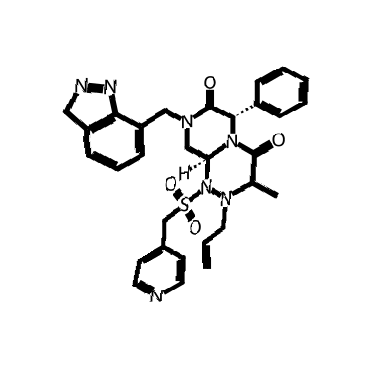 C=CCN1C(C)C(=O)N2[C@@H](c3ccccc3)C(=O)N(Cc3cccc4c3N=NC4)C[C@@H]2N1S(=O)(=O)Cc1ccncc1